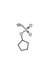 CC(C)(C)S(=O)(=O)OC1CCCC1